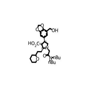 CCCCN(CCCC)C(=O)CN1C[C@H](c2cc(CO)c3c(c2)OCO3)[C@@H](C(=O)O)[C@@H]1CCC1CCCCO1